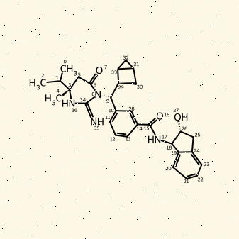 CC(C)[C@]1(C)CC(=O)N([C@@H](c2cccc(C(=O)NC3c4ccccc4C[C@H]3O)c2)[C@@H]2CC3CC32)C(=N)N1